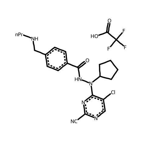 CCCNCc1ccc(C(=O)NN(c2nc(C#N)ncc2Cl)C2CCCC2)cc1.O=C(O)C(F)(F)F